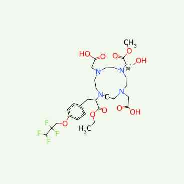 CCOC(=O)C(Cc1ccc(OCC(F)(F)C(F)F)cc1)N1CCN(CC(=O)O)CCN([C@@H](CO)C(=O)OC)CCN(CC(=O)O)CC1